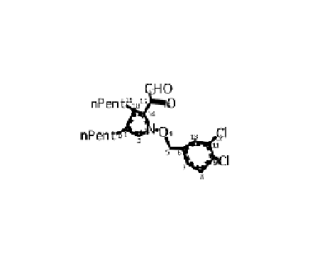 CCCCCc1cn(OCc2ccc(Cl)c(Cl)c2)c(C(=O)C=O)c1CCCCC